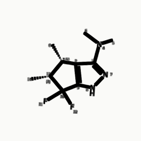 C[C@@H]1c2c(N(C)C)n[nH]c2C(F)(F)[C@@H]1C